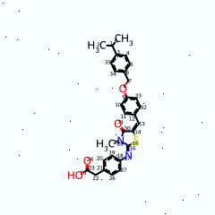 CC(C)c1ccc(COc2ccc(C=C3SC(=Nc4ccc(CC(=O)O)cc4)N(C)C3=O)cc2)cc1